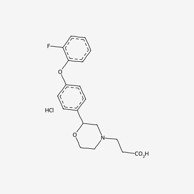 Cl.O=C(O)CCN1CCOC(c2ccc(Oc3ccccc3F)cc2)C1